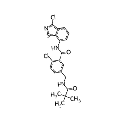 CC(C)(C)C(=O)NCc1ccc(Cl)c(C(=O)Nc2cccc3c(Cl)nsc23)c1